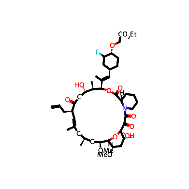 C=CC[C@@H]1/C=C(\C)C[C@H](C)C[C@H](OC)[C@H]2O[C@@](O)(C(=O)C(=O)N3CCCC[C@H]3C(=O)O[C@H](/C(C)=C/[C@@H]3CC[C@@H](OCC(=O)OCC)C(F)C3)[C@H](C)[C@@H](O)CC1=O)[C@H](C)C[C@@H]2OC